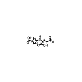 O=C(O)CCC(Nc1nc(C(=O)O)co1)C(=O)O